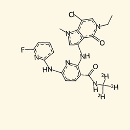 [2H]C([2H])([2H])NC(=O)c1ccc(Nc2cccc(F)n2)nc1Nc1cn(C)c2c(Cl)cn(CC)c(=O)c12